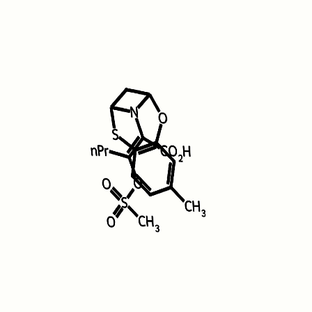 CCCC(OS(C)(=O)=O)=C(C(=O)O)N1C2CC1Sc1ccc(C)cc1O2